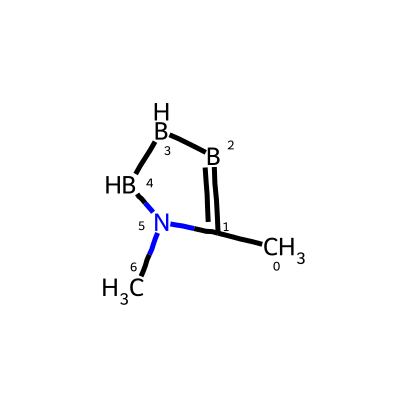 CC1=BBBN1C